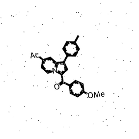 COc1ccc(C(=O)c2cc(-c3ccc(C)cc3)c3cc(C(C)=O)ccn23)cc1